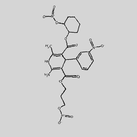 CC1=C(C(=O)OC2CCCCC2O[N+](=O)[O-])C(c2cccc([N+](=O)[O-])c2)C(C(=O)OCCCO[N+](=O)[O-])=C(N)N1